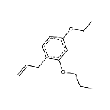 C=CCc1ccc(OCC)cc1OCCC